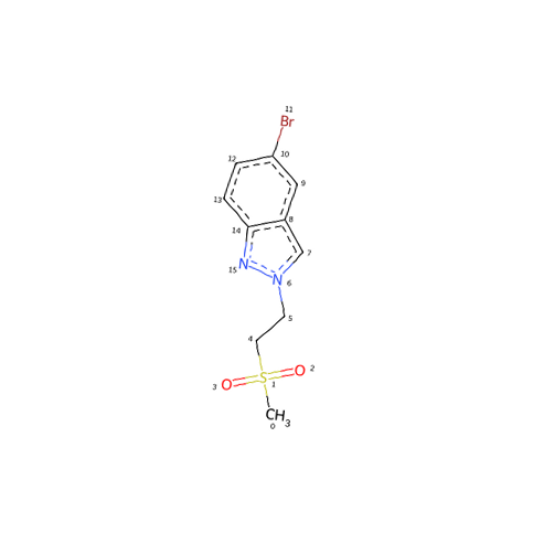 CS(=O)(=O)CCn1cc2cc(Br)ccc2n1